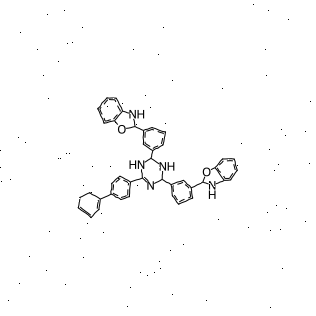 C1=CCCC(c2ccc(C3=NC(c4cccc(C5Nc6ccccc6O5)c4)NC(c4cccc(C5Nc6ccccc6O5)c4)N3)cc2)=C1